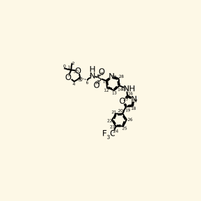 CC1(C)OC[C@@H](CNS(=O)(=O)c2ccc(Nc3ncc(-c4ccc(C(F)(F)F)cc4)o3)cn2)O1